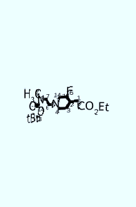 CCOC(=O)CC1CCN(CCN(C)C(=O)OC(C)(C)C)CC1F